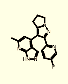 Cc1cc(-c2c(-c3ccc(F)cn3)nn3c2CCC3)c2cn[nH]c2n1